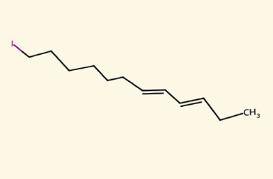 CCC=CC=CCCCCCCI